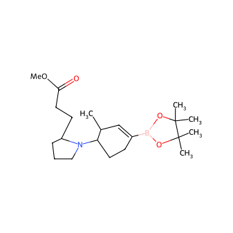 COC(=O)CCC1CCCN1C1CCC(B2OC(C)(C)C(C)(C)O2)=CC1C